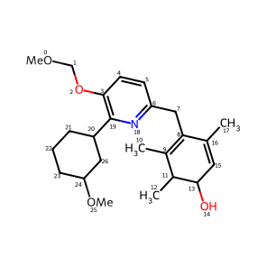 COCOc1ccc(CC2=C(C)C(C)C(O)C=C2C)nc1C1CCCC(OC)C1